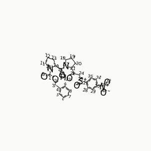 O=C(OCc1ccccc1)N1CCC[C@H]1C(=O)N1CCC[C@H]1C(O)C[S+]([O-])c1ccc([N+](=O)[O-])cc1